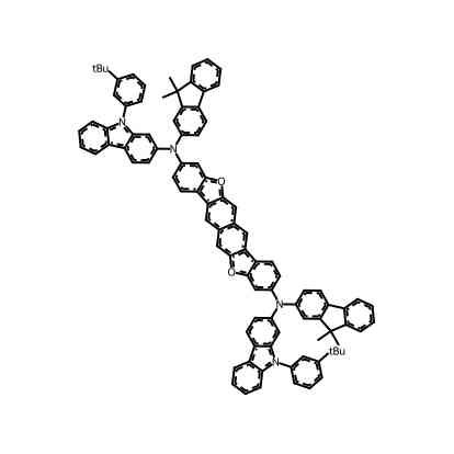 CC(C)(C)c1cccc(-n2c3ccccc3c3ccc(N(c4ccc5c(c4)C(C)(C)c4ccccc4-5)c4ccc5c(c4)oc4cc6cc7c(cc6cc45)oc4cc(N(c5ccc6c(c5)C(C)(C)c5ccccc5-6)c5ccc6c8ccccc8n(-c8cccc(C(C)(C)C)c8)c6c5)ccc47)cc32)c1